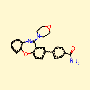 NC(=O)c1ccc(-c2ccc3c(c2)C(N2CCOCC2)=Nc2ccccc2O3)cc1